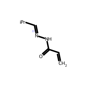 C=CC(=O)N/N=C/C(C)C